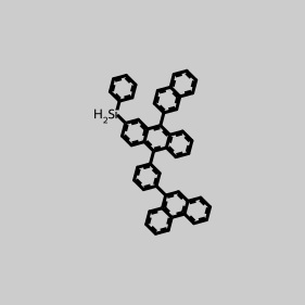 c1ccc([SiH2]c2ccc3c(-c4cccc(-c5cc6ccccc6c6ccccc56)c4)c4ccccc4c(-c4ccc5ccccc5c4)c3c2)cc1